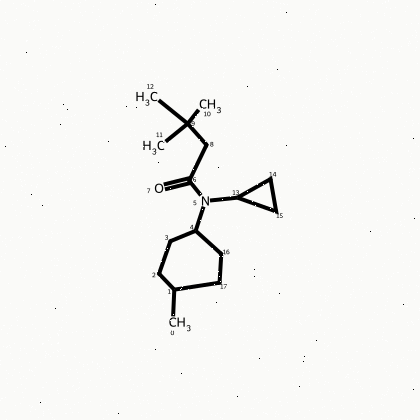 CC1CCC(N(C(=O)CC(C)(C)C)C2CC2)CC1